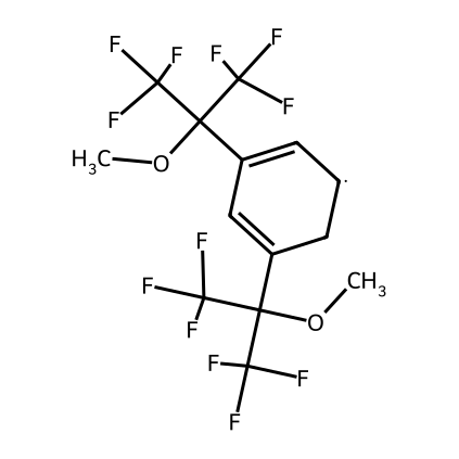 COC(C1=C[CH]CC(C(OC)(C(F)(F)F)C(F)(F)F)=C1)(C(F)(F)F)C(F)(F)F